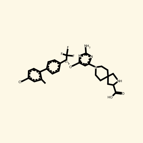 Cc1cc(Cl)ccc1-c1ccc([C@@H](Oc2cc(N3CCC4(CC3)CNC(C(=O)O)C4)nc(N)n2)C(F)(F)F)cc1